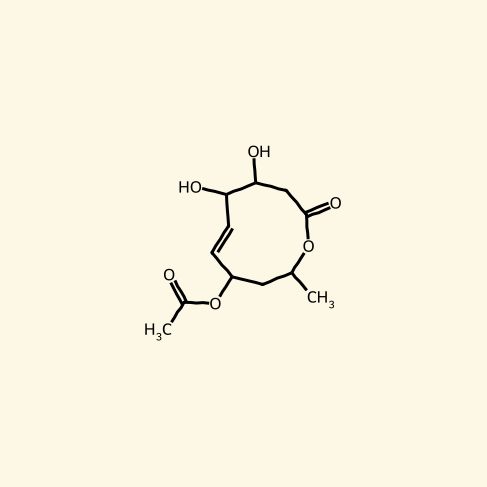 CC(=O)OC1/C=C/C(O)C(O)CC(=O)OC(C)C1